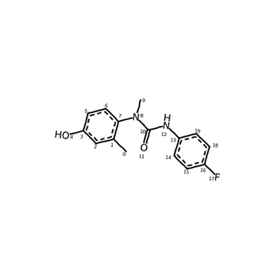 Cc1cc(O)ccc1N(C)C(=O)Nc1ccc(F)cc1